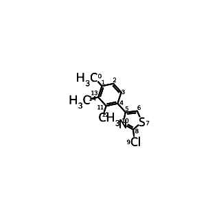 Cc1ccc(-c2csc(Cl)n2)c(C)c1C